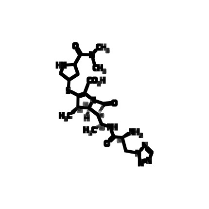 C[C@@H](NC(=O)[C@@H](N)Cn1ncnn1)[C@H]1C(=O)N2C(C(=O)O)=C(SC3CNC(C(=O)N(C)C)C3)[C@H](C)[C@H]12